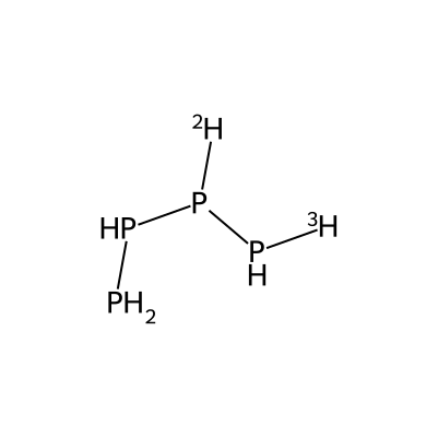 [2H]P(P[3H])PP